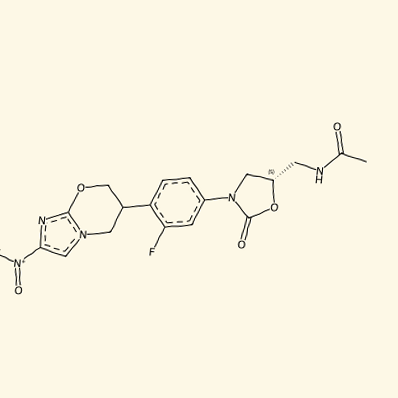 CC(=O)NC[C@H]1CN(c2ccc(C3COc4nc([N+](=O)[O-])cn4C3)c(F)c2)C(=O)O1